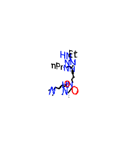 CCCNc1nc(NCC)ncc1C#CCCCNC(=O)[C@H](C)N(C)C(=O)/C=C/CN(C)C